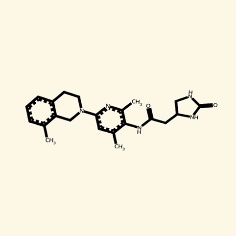 Cc1cccc2c1CN(c1cc(C)c(NC(=O)CC3CNC(=O)N3)c(C)n1)CC2